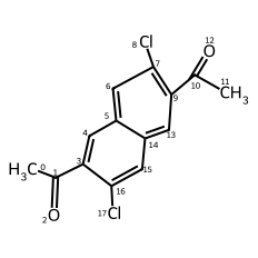 CC(=O)c1cc2cc(Cl)c(C(C)=O)cc2cc1Cl